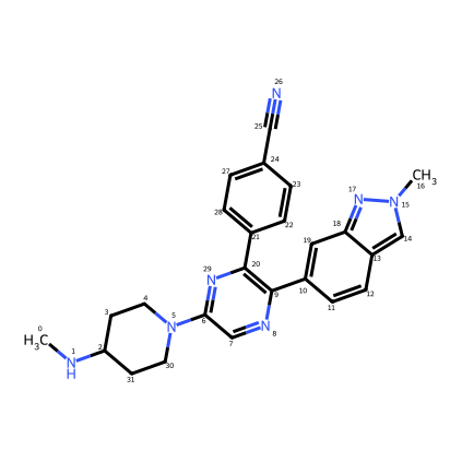 CNC1CCN(c2cnc(-c3ccc4cn(C)nc4c3)c(-c3ccc(C#N)cc3)n2)CC1